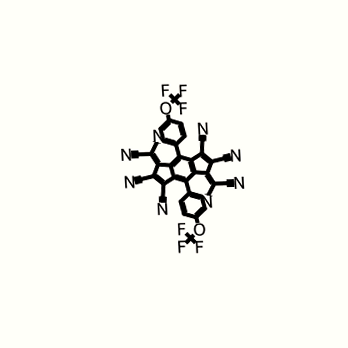 N#CC(C#N)=C1C(C#N)=C(C#N)c2c1c(-c1ccc(OC(F)(F)F)cc1)c1c(c2-c2ccc(OC(F)(F)F)cc2)C(=C(C#N)C#N)C(C#N)=C1C#N